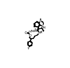 CCCCCCCCCC(=O)OCC(CCCN1CC[C@H]2[C@@H](C1)c1cccc3c1N2CCN3C)c1ccc(F)cc1